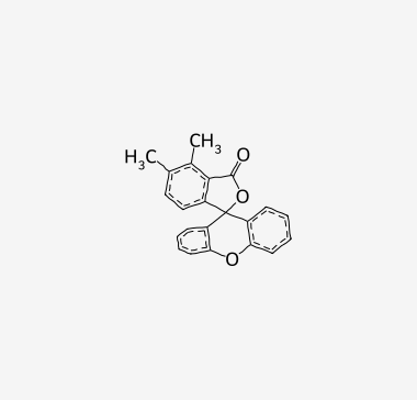 Cc1ccc2c(c1C)C(=O)OC21c2ccccc2Oc2ccccc21